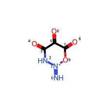 N=[N+]1NC(=O)C(=O)C(=O)O1